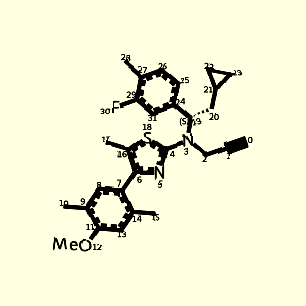 C#CCN(c1nc(-c2cc(C)c(OC)cc2C)c(C)s1)[C@@H](CC1CC1)c1ccc(C)c(F)c1